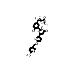 Cc1ccc(COc2ccc(-c3cc(=O)[nH]c(-c4cc(CC(C)(C)C(N)=O)ccc4Cl)n3)cn2)cn1